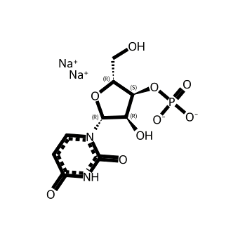 O=c1ccn([C@@H]2O[C@H](CO)[C@@H](OP(=O)([O-])[O-])[C@H]2O)c(=O)[nH]1.[Na+].[Na+]